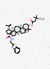 C=C(C)[C@@H]1CC[C@]2(C(=O)NCc3nc4ccccc4s3)CC[C@]3(C)[C@H](CC[C@@H]4[C@@]5(C)CC[C@H](OC(=O)CC(C)(C)C(=O)O)C(C)(C)[C@@H]5CC[C@]43C)[C@@H]12